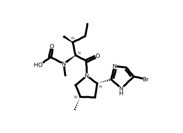 CC[C@H](C)[C@@H](C(=O)N1C[C@@H](C)C[C@H]1c1ncc(Br)[nH]1)N(C)C(=O)O